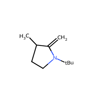 C=C1C(C)CCN1C(C)(C)C